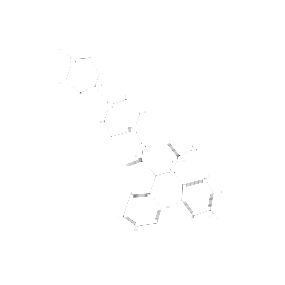 CN1CCC(N2CCN(NC(=O)C(c3ccccc3)N(C(N)=O)c3ccc(Cl)cc3)CC2)CC1